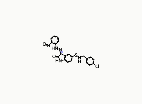 O=Nc1ccccc1N/N=C1\C(=O)Nc2ccc(SNCc3ccc(Cl)cc3)cc21